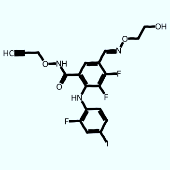 C#CCONC(=O)c1cc(/C=N/OCCO)c(F)c(F)c1Nc1ccc(I)cc1F